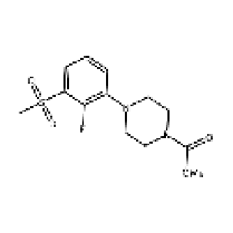 COC(=O)N1CCN(c2cccc(S(C)(=O)=O)c2F)CC1